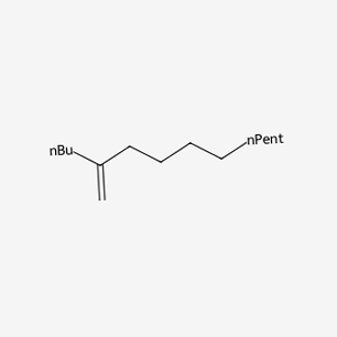 C=C(CCCC)CCCCCCCCC